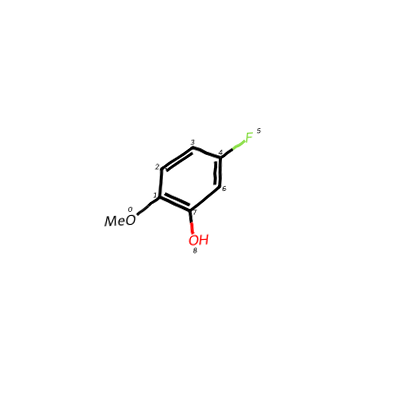 COc1[c]cc(F)cc1O